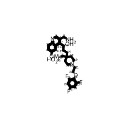 COc1ccc2ncc(CN)c([C@H](O)CCC3(CC(=O)O)CCN(CCOc4c(F)cc(F)cc4F)CC3)c2c1